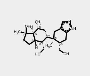 C[C@@H]1C[C@H]([C@@]2(C)Cc3cn[nH]c3C[C@@H]2CO)[C@H](CO)[C@@H]2CC[C@](C)(O)[C@H]21